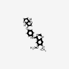 COc1cc2ncnc(Nc3ccc(O[C@H]4CO[C@@H]5CCO[C@H]45)cc3)c2cc1OC